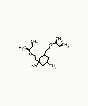 C=CC(=C)OCCC1CC(C)CC(CCC)(CCOC(=C)C=C)C1